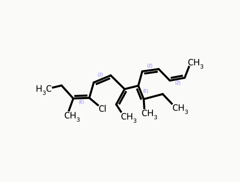 CC=C(/C=C\C(Cl)=C(\C)CC)C(/C=C\C=C/C)=C(\C)CC